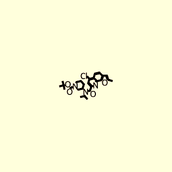 Cc1cc2ccc3c(Cl)cc(C(=O)N(C(C)C)[C@@H]4CCCN(C(=O)OC(C)(C)C)C4)nc3c2o1